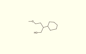 COCCC(CO)C1CCCCC1